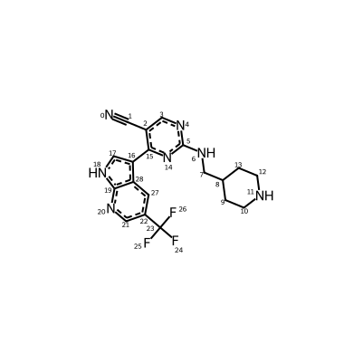 N#Cc1cnc(NCC2CCNCC2)nc1-c1c[nH]c2ncc(C(F)(F)F)cc12